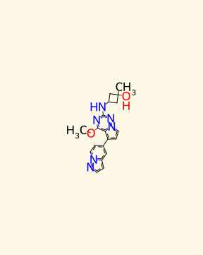 COc1nc(NC2CC(C)(O)C2)nn2ccc(-c3ccn4nccc4c3)c12